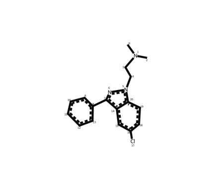 CN(C)CCn1nc(-c2ccccc2)c2cc(Cl)ccc21